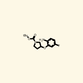 CC(C)(C)OC(=O)N1CCC(Oc2cc(F)ccc2N)C1